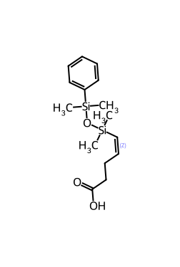 C[Si](C)(/C=C\CCC(=O)O)O[Si](C)(C)c1ccccc1